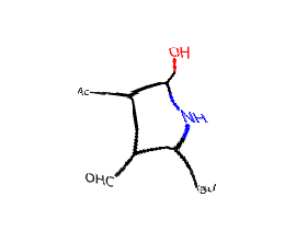 CCC(C)C1NC(O)C(C(C)=O)C1C=O